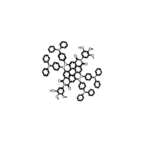 COc1cc(N2C(=O)c3cc(Oc4ccc(N(c5ccccc5)c5ccccc5)cc4)c4c5c(Oc6ccc(N(c7ccccc7)c7ccccc7)cc6)cc6c7c(cc(Oc8ccc(N(c9ccccc9)c9ccccc9)cc8)c(c8c(Oc9ccc(N(c%10ccccc%10)c%10ccccc%10)cc9)cc(c3c48)C2=O)c75)C(=O)N(c2cc(O)c(OC)c(OC)c2)C6=O)cc(O)c1OC